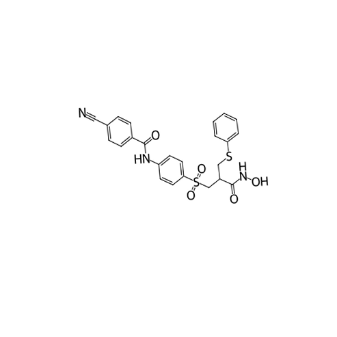 N#Cc1ccc(C(=O)Nc2ccc(S(=O)(=O)CC(CSc3ccccc3)C(=O)NO)cc2)cc1